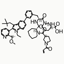 C=CC(=O)N1CC[C@H](C(=O)N2CCCCC[C@H]2C(=O)N[C@@H](Cc2cccc(-c3ccc4c(c3)c(CC(C)(C)C)c(-c3cccnc3[C@H](C)OC)n4CC)c2)C(=O)N2CCC[C@@H](C(=O)O)N2)C1